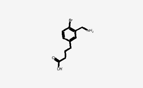 NCc1cc(CCCC(=O)O)ccc1Br